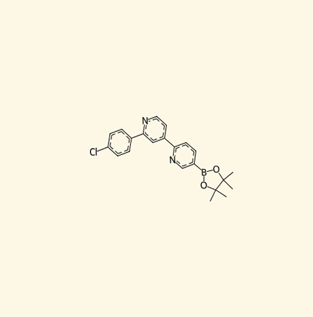 CC1(C)OB(c2ccc(-c3ccnc(-c4ccc(Cl)cc4)c3)nc2)OC1(C)C